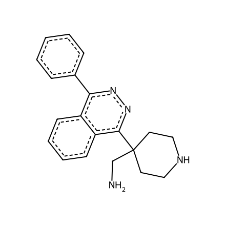 NCC1(c2nnc(-c3ccccc3)c3ccccc23)CCNCC1